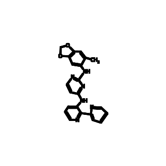 Cc1cc2c(cc1Nc1nccc(Nc3cccnc3-c3ccccn3)n1)OCO2